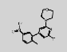 Cc1ccc([N+](=O)[O-])cc1-c1cc(F)nc(N2CCOCC2)c1